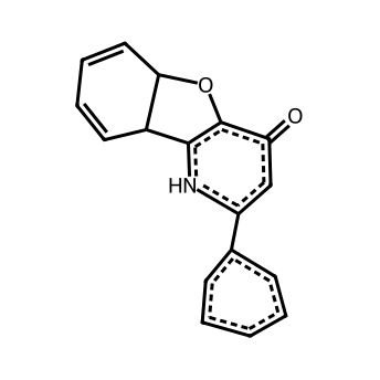 O=c1cc(-c2ccccc2)[nH]c2c1OC1C=CC=CC21